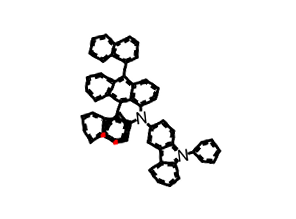 c1ccc(N(c2ccc3c(c2)c2ccccc2n3-c2ccccc2)c2cccc3c(-c4cccc5ccccc45)c4ccccc4c(-c4cccc5ccccc45)c23)cc1